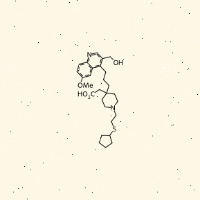 COc1ccc2ncc(CO)c(CCCC3(CC(=O)O)CCN(CCSC4CCCC4)CC3)c2c1